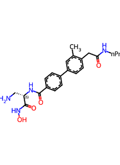 CCCNC(=O)Cc1ccc(-c2ccc(C(=O)N[C@@H](CN)C(=O)NO)cc2)cc1C